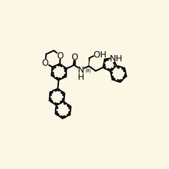 O=C(N[C@@H](CO)Cc1c[nH]c2ccccc12)c1cc(-c2ccc3ccccc3c2)cc2c1OCCO2